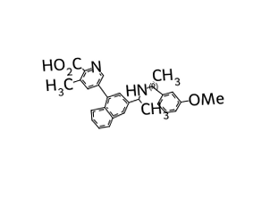 COc1cccc([C@@H](C)NC(C)c2cc(-c3cnc(C(=O)O)c(C)c3)c3ccccc3c2)c1